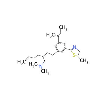 C=CCCC(CCc1cc(C(=C)CC)cc(C2=NCC(C)S2)c1)CN(C)C